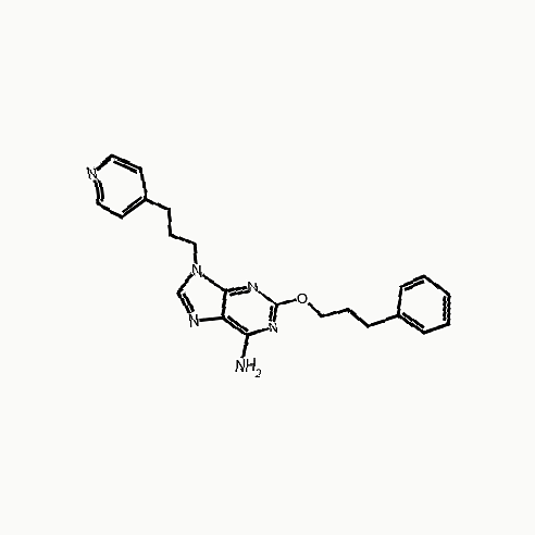 Nc1nc(OCCCc2ccccc2)nc2c1ncn2CCCc1ccncc1